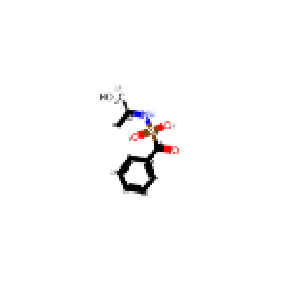 C[C@H](NS(=O)(=O)C(=O)c1ccccc1)C(=O)O